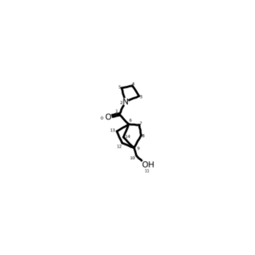 O=C(N1CCC1)C12CCC(CO)(CC1)C2